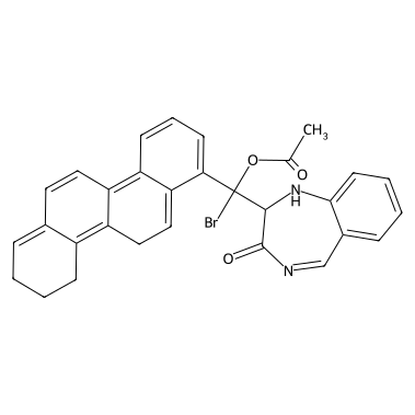 CC(=O)OC(Br)(c1cccc2c1=CCc1c3c(ccc1=2)=CCCC3)C1Nc2ccccc2C=NC1=O